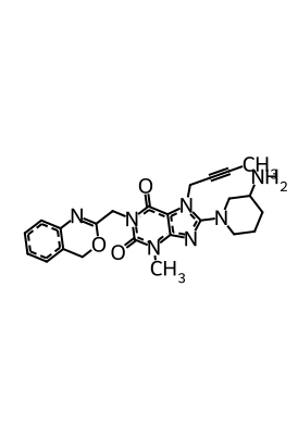 CC#CCn1c(N2CCCC(N)C2)nc2c1c(=O)n(CC1=Nc3ccccc3CO1)c(=O)n2C